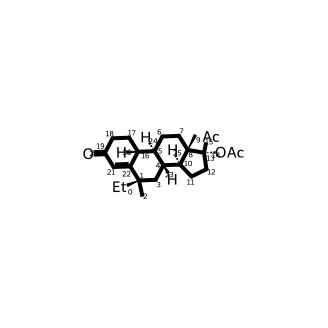 CC[C@]1(C)C[C@@H]2[C@H](CC[C@@]3(C)[C@H]2CC[C@]3(OC(C)=O)C(C)=O)[C@H]2CCC(=O)C=C21